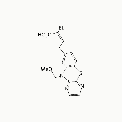 CCC(=CCc1ccc2c(c1)N(COC)c1nccnc1S2)C(=O)O